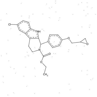 CCOC(=O)N1CCc2c([nH]c3ccc(Cl)cc23)C1c1ccc(OCC2CO2)cc1